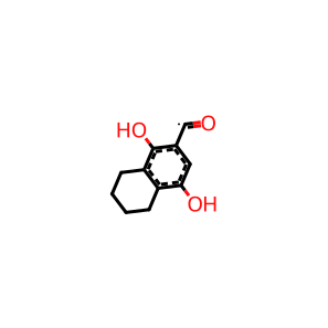 O=[C]c1cc(O)c2c(c1O)CCCC2